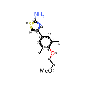 COCCOc1c(C)cc(-c2csc(N)n2)cc1C